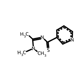 CC(=NC(=S)c1cccnc1)N(C)C